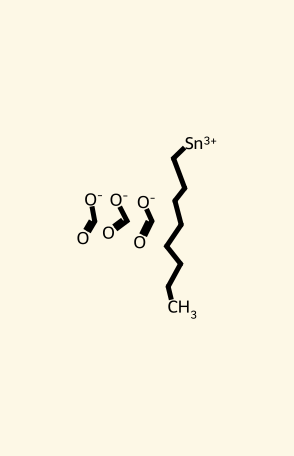 CCCCCCC[CH2][Sn+3].O=C[O-].O=C[O-].O=C[O-]